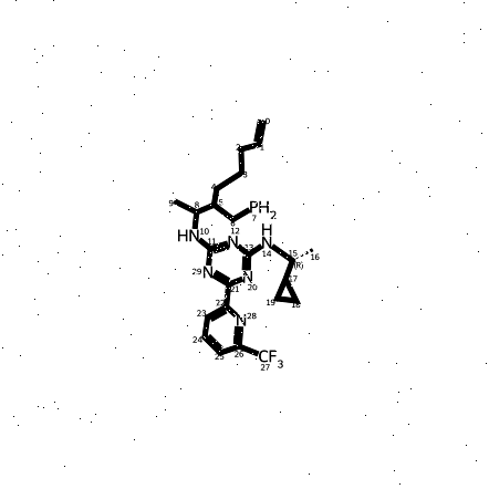 C=CCCCC(CP)C(C)Nc1nc(N[C@H](C)C2CC2)nc(-c2cccc(C(F)(F)F)n2)n1